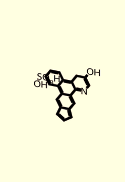 O=S(=O)(O)O.OC1=CN=c2c(c3ccccc3c3cc4c(cc23)=CC=C4)C1